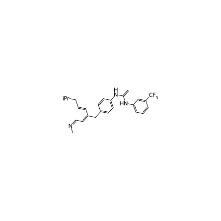 C=C(Nc1ccc(CC(=C/C=N\C)/C=C/CC(C)C)cc1)Nc1cccc(C(F)(F)F)c1